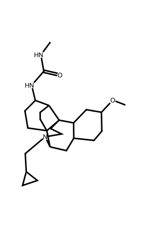 CNC(=O)NC1CCC23CCC1C21CCN(CC2CC2)C3CC2CCC(OC)CC21